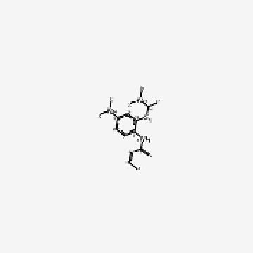 C=C(/C=C\C)Nc1ccc(N(C)C)cc1SC(C)N(C)C